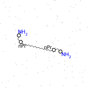 CCCc1cc(Cc2ccc(N)cc2)ccc1CCCCCCCCCCCCCCCCCc1ccc(Cc2ccc(N)cc2)cc1CCC